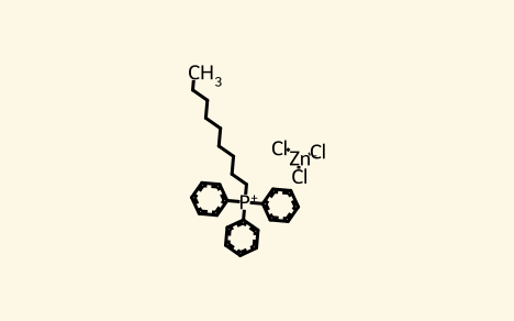 CCCCCCCCC[P+](c1ccccc1)(c1ccccc1)c1ccccc1.[Cl][Zn-]([Cl])[Cl]